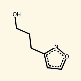 OCCCc1c[c]on1